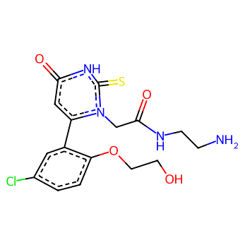 NCCNC(=O)Cn1c(-c2cc(Cl)ccc2OCCO)cc(=O)[nH]c1=S